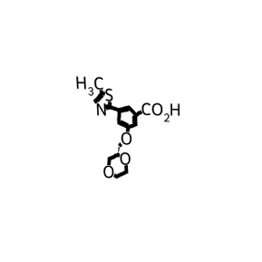 Cc1cnc(-c2cc(OC[C@H]3COCCO3)cc(C(=O)O)c2)s1